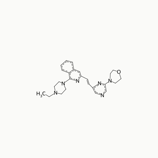 CCN1CCN(c2nc(C=Cc3cncc(N4CCOCC4)n3)cc3ccccc23)CC1